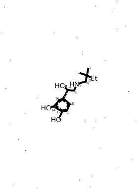 CCC(C)(C)CNCC(O)c1ccc(O)c(O)c1